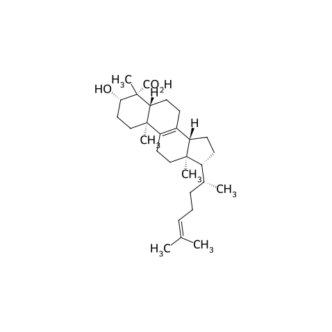 CC(C)=CCC[C@@H](C)[C@H]1CC[C@H]2C3=C(CC[C@]12C)[C@@]1(C)CC[C@H](O)[C@](C)(C(=O)O)[C@@H]1CC3